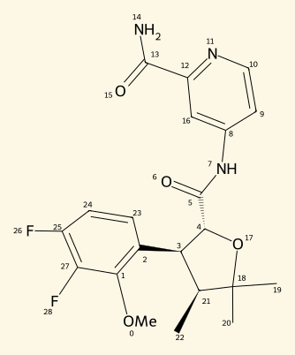 COc1c([C@H]2[C@H](C(=O)Nc3ccnc(C(N)=O)c3)OC(C)(C)[C@H]2C)ccc(F)c1F